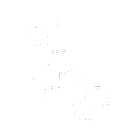 O=C(c1ccc(Cl)cc1NS(=O)(=O)c1cccc2nsnc12)N1CCC[C@@H]1CO